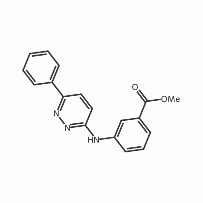 COC(=O)c1cccc(Nc2ccc(-c3ccccc3)nn2)c1